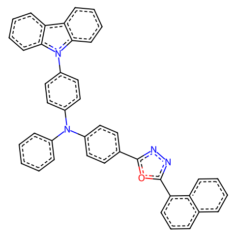 c1ccc(N(c2ccc(-c3nnc(-c4cccc5ccccc45)o3)cc2)c2ccc(-n3c4ccccc4c4ccccc43)cc2)cc1